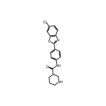 O=C(Nc1ccc(-c2nc3ccc(Cl)cc3o2)cc1)N1CCCNC1